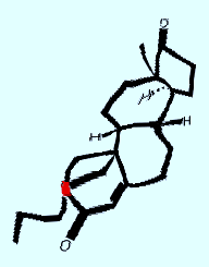 CCCOC[C@]12CCC(=O)C=C1CC[C@@H]1[C@H]2CC[C@]2(C)C(=O)CC[C@@H]12